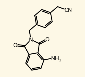 N#CCc1ccc(CN2C(=O)c3cccc(N)c3C2=O)cc1